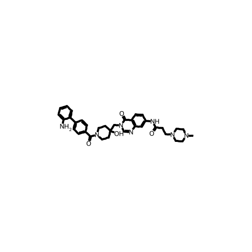 CN1CCN(CCC(=O)Nc2ccc3c(=O)n(CC4(O)CCN(C(=O)c5ccc(-c6ccccc6N)cc5)CC4)cnc3c2)CC1